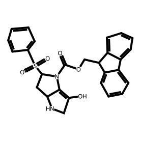 O=C(OCC1c2ccccc2-c2ccccc21)N1C2=C(O)CNC2CC1S(=O)(=O)c1ccccc1